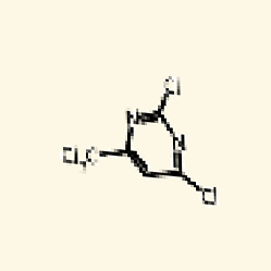 Clc1cc(C(Cl)(Cl)Cl)nc(Cl)n1